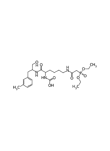 CCOP(=O)(CC(=O)NCCCCC(NC(=O)O)C(=O)NC(CO)Cc1cccc(C)c1)OCC